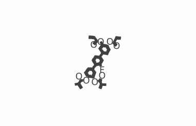 C=CC(=O)Oc1ccc(-c2ccc(-c3ccc(OC(=O)C(=C)C)c(OC(=O)C(=C)C)c3)c(F)c2)cc1OC(=O)C=C